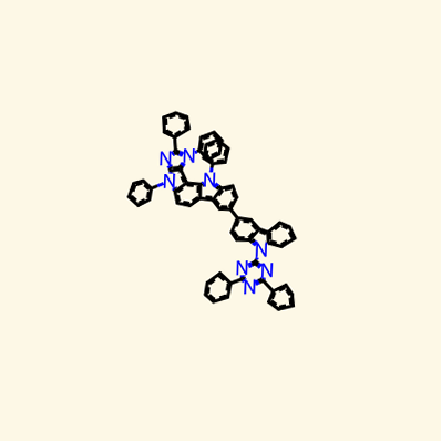 c1ccc(-c2nc(-c3ccccc3)nc(-n3c4ccccc4c4cc(-c5ccc6c(c5)c5ccc7c(c8c(nc(-c9ccccc9)n8-c8ccccc8)n7-c7ccccc7)c5n6-c5ccccc5)ccc43)n2)cc1